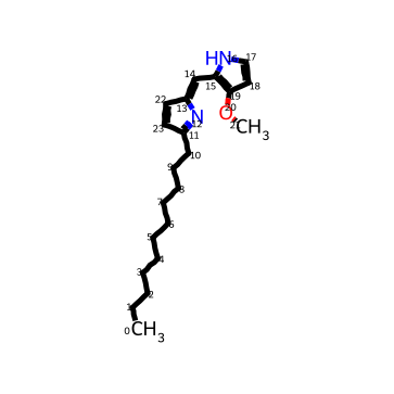 CCCCCCCCCCCC1=NC(=Cc2[nH]ccc2OC)C=C1